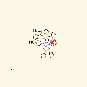 Cn1c(-c2ccccc2)c(C=CC2N(c3ccc(C#N)cc3)c3nc(-c4ccccc4)c(-c4ccccc4)nc3[N+]2(O[Cl+3]([O-])([O-])[O-])c2ccc(C#N)cc2)c2ccccc21